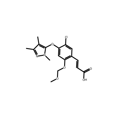 COCOc1cc(Oc2c(C)c(C)nn2C)c(Cl)cc1C=CC(=O)O